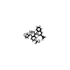 CC(=O)N1CCC(NC2CCOC2)=C(C(=N)N2CC(C3CC3)Cc3ccccc32)C1